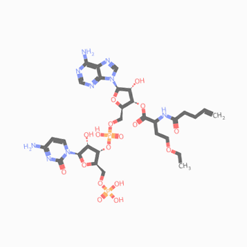 C=CCCC(=O)NC(CCOCC)C(=O)O[C@H]1[C@@H](O)[C@H](n2cnc3c(N)ncnc32)O[C@@H]1COP(=O)(O)O[C@H]1[C@@H](O)[C@H](n2ccc(N)nc2=O)O[C@@H]1COP(=O)(O)O